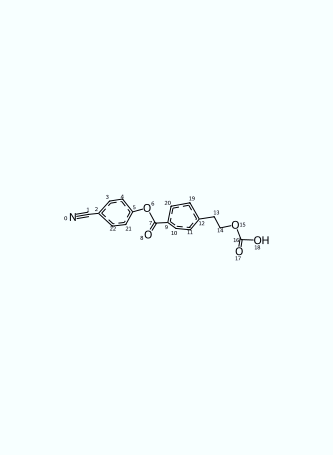 N#Cc1ccc(OC(=O)c2ccc(CCOC(=O)O)cc2)cc1